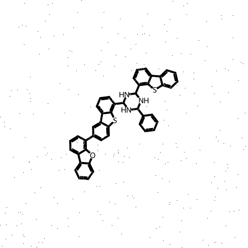 c1ccc(C2NC(c3cccc4c3sc3ccccc34)NC(c3cccc4c3sc3ccc(-c5cccc6c5oc5ccccc56)cc34)N2)cc1